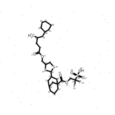 CC(CCC(=O)OCC1CSC(C2CC3CCCC(C(=O)OCC(F)(F)S(=O)(=O)O)(C3)C2)S1)CC1CCCCC1